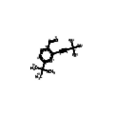 [2H]C([2H])([2H])C#Cc1nc(C(C)(C)C)ccc1C=O